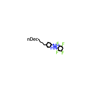 CCCCCCCCCCCCCCc1ccc(NNc2c(F)c(F)cc(F)c2F)cc1